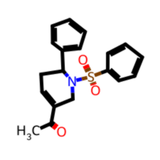 CC(=O)C1=CCC(c2ccccc2)N(S(=O)(=O)c2ccccc2)C1